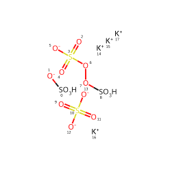 O=S(=O)([O-])O.O=S(=O)([O-])OOS(=O)(=O)O.O=S(=O)([O-])[O-].[K+].[K+].[K+].[K+]